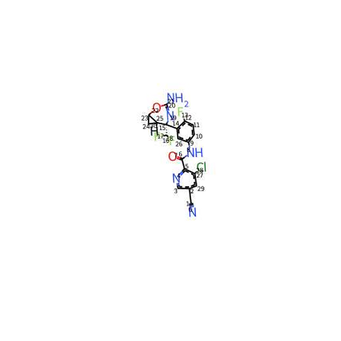 N#Cc1cnc(C(=O)Nc2ccc(F)c([C@]3(C(F)F)N=C(N)OC4C[C@H]43)c2)c(Cl)c1